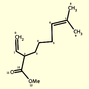 C=CC(CCCC=C(C)C)C(=O)OC